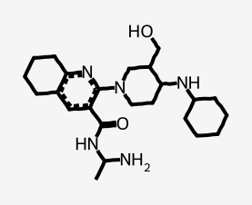 CC(N)NC(=O)c1cc2c(nc1N1CCC(NC3CCCCC3)C(CO)C1)CCCC2